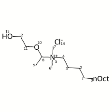 CCCCCCCCCCCC[N+](C)(C)C(C)OCCO.[Cl-]